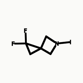 FC1(F)CC12CN(I)C2